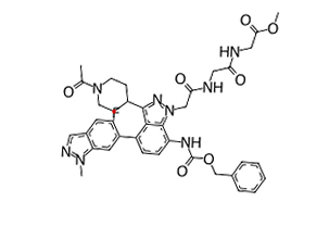 COC(=O)CNC(=O)CNC(=O)Cn1nc(C2CCN(C(C)=O)CC2)c2c(-c3cc4c(cnn4C)cc3F)ccc(NC(=O)OCc3ccccc3)c21